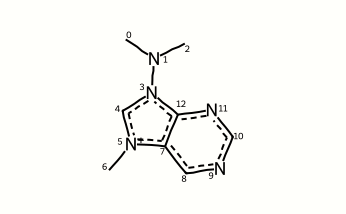 CN(C)n1c[n+](C)c2cncnc21